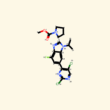 COC(=O)N1CCC[C@@H]1c1nc2c(F)cc(-c3nc(Cl)ncc3Cl)cc2n1C(C)C